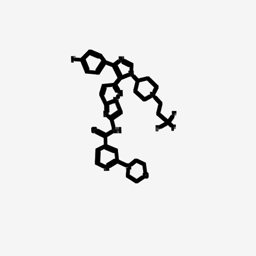 O=C(Nc1cn2nc(-c3c(-c4ccc(F)cc4)ncn3C3CCN(CCC(F)(F)F)CC3)ccc2n1)c1ccnc(N2CCOCC2)c1